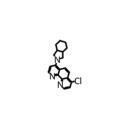 Clc1ccnc2c1ccc1c(N3CC4CCCCC4C3)ccnc12